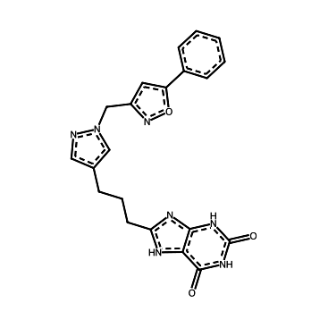 O=c1[nH]c(=O)c2[nH]c(CCCc3cnn(Cc4cc(-c5ccccc5)on4)c3)nc2[nH]1